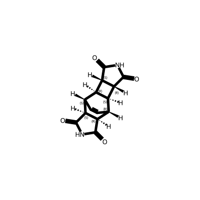 O=C1NC(=O)[C@H]2[C@H]3C=C[C@@H]([C@@H]12)[C@@H]1[C@H]2C(=O)NC(=O)[C@H]2[C@H]31